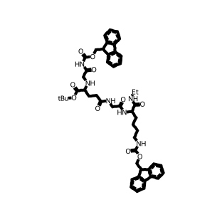 CCNC(=O)C(CCCCNC(=O)OCC1c2ccccc2-c2ccccc21)NC(=O)CNC(=O)CCC(NCC(=O)NC(=O)OCC1c2ccccc2-c2ccccc21)C(=O)OC(C)(C)C